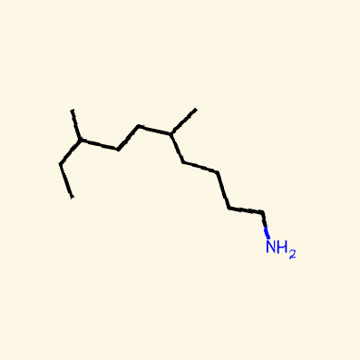 CCC(C)CCC(C)CCCCN